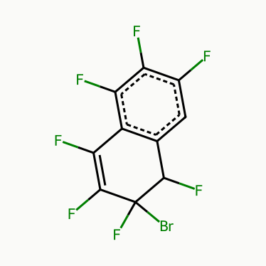 FC1=C(F)C(F)(Br)C(F)c2cc(F)c(F)c(F)c21